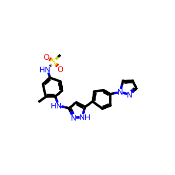 Cc1cc(NS(C)(=O)=O)ccc1Nc1cc(-c2ccc(-n3cccn3)cc2)[nH]n1